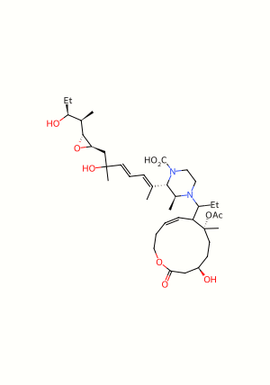 CCC(C1C=CCCOC(=O)C[C@H](O)CC[C@@]1(C)OC(C)=O)N1CCN(C(=O)O)[C@@H](/C(C)=C/C=C/C(C)(O)C[C@H]2O[C@@H]2[C@H](C)[C@@H](O)CC)[C@@H]1C